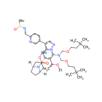 C=C(OCC)c1c([C@@H]2C[C@H]3CC[C@@H](C2)N3C(=O)OC(C)(C)C)nc2c(-c3ccc(/C=N/[S+]([O-])C(C)(C)C)nc3)cnn2c1N(COCC[Si](C)(C)C)COCC[Si](C)(C)C